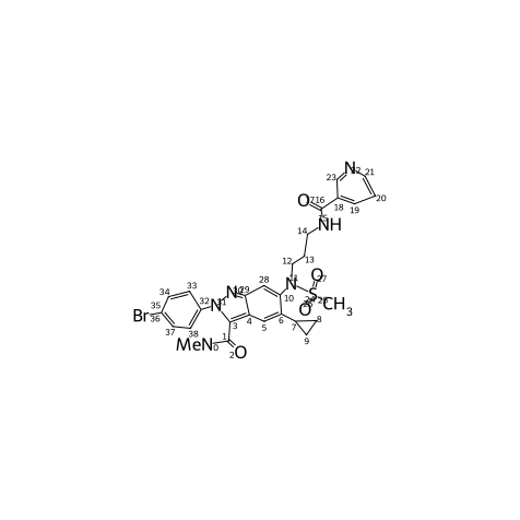 CNC(=O)c1c2cc(C3CC3)c(N(CCCNC(=O)c3cccnc3)S(C)(=O)=O)cc2nn1-c1ccc(Br)cc1